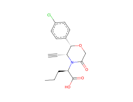 C#C[C@@H]1[C@H](c2ccc(Cl)cc2)OCC(=O)N1[C@H](CCC)C(=O)O